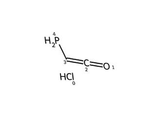 Cl.O=C=CP